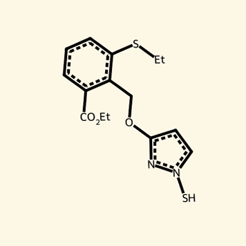 CCOC(=O)c1cccc(SCC)c1COc1ccn(S)n1